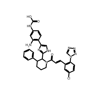 Nc1cc(NC(=O)O)ccc1-c1c[nH]c(C2C(c3ccccc3)CCCN2C(=O)/C=C/c2cc(Cl)ccc2-n2cnnn2)n1